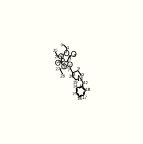 CCOC(=O)C(OCC1CCN(Cc2ccccc2)CC1)P(=O)(OCC)OCC